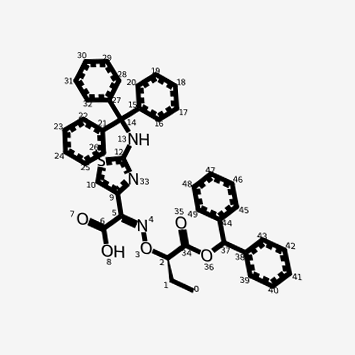 CC[C@@H](ON=C(C(=O)O)c1csc(NC(c2ccccc2)(c2ccccc2)c2ccccc2)n1)C(=O)OC(c1ccccc1)c1ccccc1